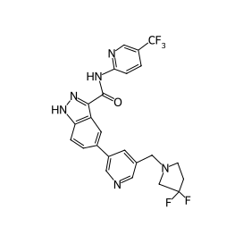 O=C(Nc1ccc(C(F)(F)F)cn1)c1n[nH]c2ccc(-c3cncc(CN4CCC(F)(F)C4)c3)cc12